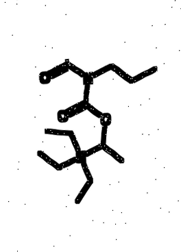 CCCN([C]=O)C(=O)OC(C)[Si](CC)(CC)CC